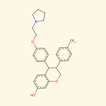 Oc1ccc2c(c1)OCC(c1ccc(C(F)(F)F)cc1)C2c1ccc(OCCN2CCCC2)cc1